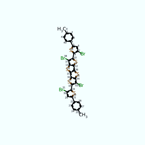 Cc1ccc(-c2cc(Br)c(-c3sc4c(sc5c6sc(-c7sc(-c8ccc(C)cc8)cc7Br)c(Br)c6sc45)c3Br)s2)cc1